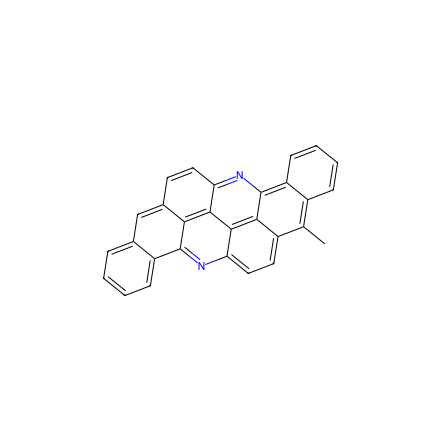 Cc1c2ccccc2c2nc3ccc4cc5ccccc5c5nc6ccc1c2c6c3c45